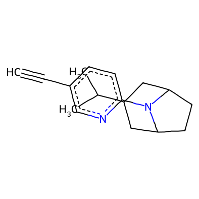 C#Cc1ccc(N2C3CCC2CC(C(C)C)C3)nc1